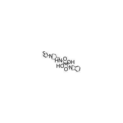 O=C(NCC1CCN(c2ccsc2)CC1)[C@H](O)[C@@H](O)C(=O)N1Cc2ccccc2C1